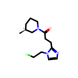 C[C@H]1CCCN(C(=O)CCc2nccn2CCCl)C1